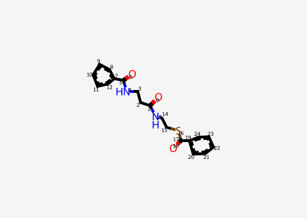 O=C(CCNC(=O)c1ccccc1)NCCSC(=O)c1ccccc1